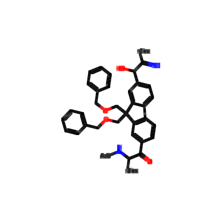 CCCCCCC(=N)C(O)c1ccc2c(c1)C(COCc1ccccc1)(COCc1ccccc1)c1cc(C(=O)C(CCCCCC)NOC(C)=O)ccc1-2